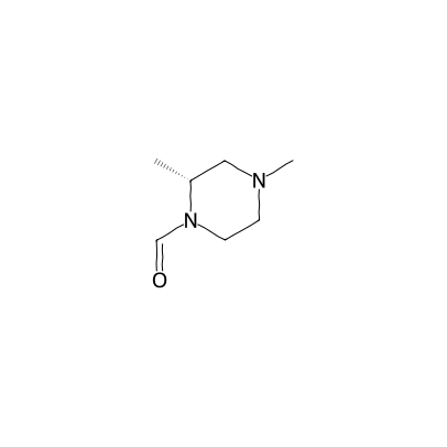 C[C@@H]1CN(C)CCN1C=O